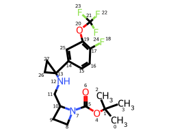 CC(C)(C)OC(=O)N1CCC1CNC1(c2ccc(F)c(OC(F)(F)F)c2)CC1